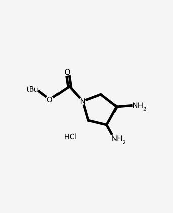 CC(C)(C)OC(=O)N1CC(N)C(N)C1.Cl